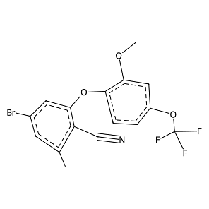 COc1cc(OC(F)(F)F)ccc1Oc1cc(Br)cc(C)c1C#N